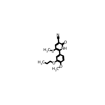 CCCOc1cc(-c2[nH]c(=O)c(C#N)cc2SC)ccc1OC